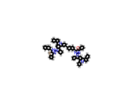 c1ccc2cc(-c3nc(-n4c5ccccc5c5c6c7cc(-c8ccc9cc(-c%10nc(-n%11c%12ccccc%12c%12c%13c%14ccccc%14n%14c%15ccc%16ccccc%16c%15c(cc%12%11)c%13%14)nc%11c%10oc%10ccccc%10%11)ccc9c8)ccc7n7c8ccc9ccccc9c8c(cc54)c67)nc4c3sc3ccccc34)ccc2c1